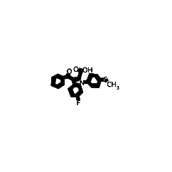 CSc1ccc(-n2c(C(=O)O)c(C(=O)c3ccccc3)c3ccc(F)cc32)cc1